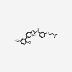 CN(C)CCOc1cccc(Nc2nc3ccc(-c4cc(O)ccc4Cl)cn3n2)c1